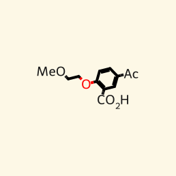 COCCOc1ccc(C(C)=O)cc1C(=O)O